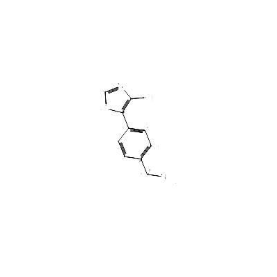 Cc1ncsc1-c1ccc([C@@H](C)N)cc1